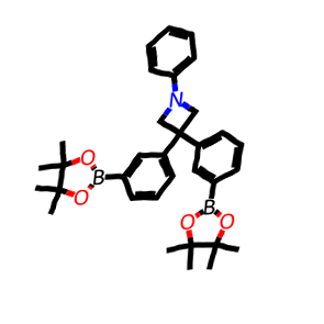 CC1(C)OB(c2cccc(C3(c4cccc(B5OC(C)(C)C(C)(C)O5)c4)CN(c4ccccc4)C3)c2)OC1(C)C